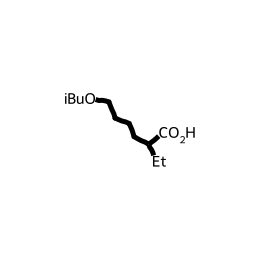 CCC(CCCCOCC(C)C)C(=O)O